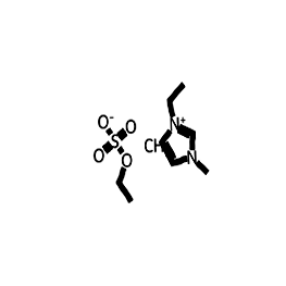 C.CCOS(=O)(=O)[O-].CC[n+]1ccn(C)c1